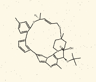 Cc1ccc2c(c1)O[C@@H](C)/C=C/COC1(C)CCN(CC1)c1c([C@H](OC(C)(C)C)C(=O)O)c(C)nc3cc(nn13)-c1cccc-2c1